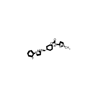 Cn1ccc(N2C[C@]3(CC[C@@H](CNc4ccn(-c5ccccc5F)n4)CC3)OC2=O)n1